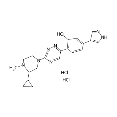 CN1CCN(c2ncc(-c3ccc(-c4cn[nH]c4)cc3O)nn2)CC1C1CC1.Cl.Cl